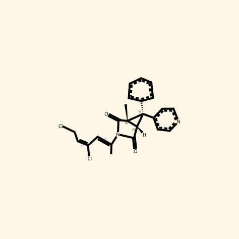 C/C(=C\C(Cl)=C/CCl)N1C(=O)[C@H]2[C@](c3ccccc3)(c3ccncc3)[C@@]2(C)C1=O